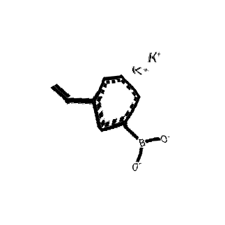 C=Cc1cccc(B([O-])[O-])c1.[K+].[K+]